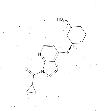 O=C(O)N1CCC[C@@H](Nc2ccnc3c2ccn3C(=O)C2CC2)C1